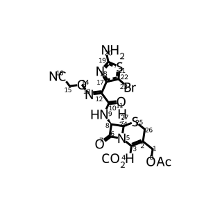 CC(=O)OCC1=C(C(=O)O)N2C(=O)[C@@H](NC(=O)C(=NOCC#N)c3nc(N)sc3Br)[C@H]2SC1